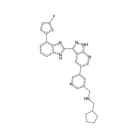 Fc1ccc(-c2cccc3[nH]c(-c4n[nH]c5ncc(-c6cncc(CNCC7CCCC7)c6)cc45)nc23)s1